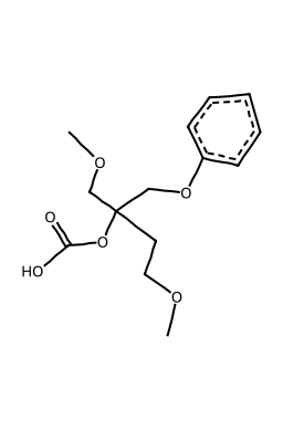 COCCC(COC)(COc1ccccc1)OC(=O)O